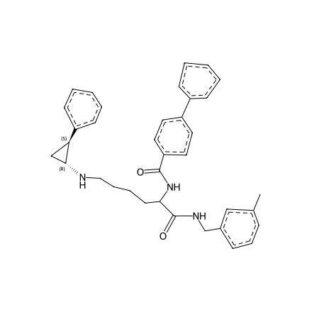 Cc1cccc(CNC(=O)C(CCCCN[C@@H]2C[C@H]2c2ccccc2)NC(=O)c2ccc(-c3ccccc3)cc2)c1